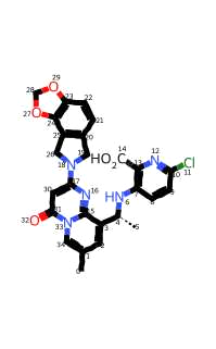 Cc1cc([C@@H](C)Nc2ccc(Cl)nc2C(=O)O)c2nc(N3Cc4ccc5c(c4C3)OCO5)cc(=O)n2c1